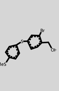 CSc1ccc(Sc2ccc(CO)c(Br)c2)cc1